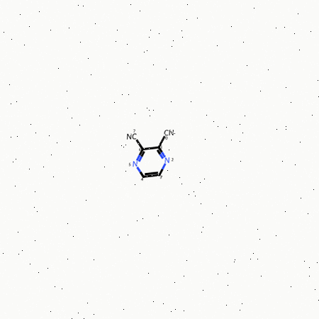 N#Cc1nccnc1C#N